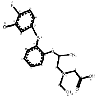 CCN(CC(=O)O)CC(C)Oc1ccccc1Sc1ccc(F)c(Cl)c1